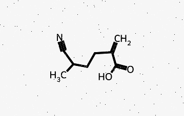 C=C(CCC(C)C#N)C(=O)O